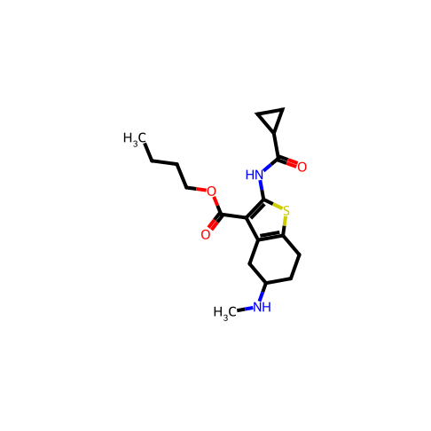 CCCCOC(=O)c1c(NC(=O)C2CC2)sc2c1CC(NC)CC2